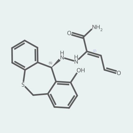 NC(=O)/C(=C/C=O)NN[C@@H]1c2ccccc2SCc2cccc(O)c21